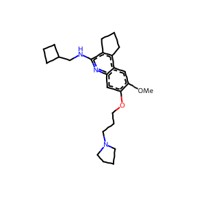 COc1cc2c3c(c(NCC4CCC4)nc2cc1OCCCN1CCCC1)CCC3